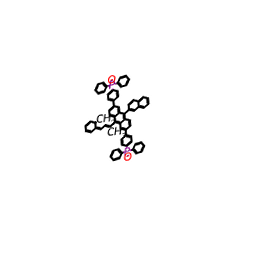 C=c1cccc/c1=C/C=C(\C)c1c2cc(-c3ccc(P(=O)(c4ccccc4)c4ccccc4)cc3)ccc2c(-c2ccc3ccccc3c2)c2cc(-c3ccc(P(=O)(c4ccccc4)c4ccccc4)cc3)ccc12